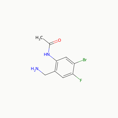 CC(=O)Nc1cc(Br)c(F)cc1CN